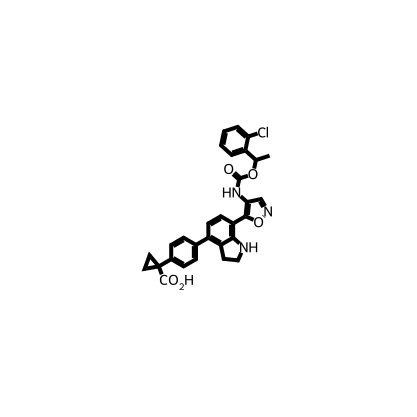 CC(OC(=O)Nc1cnoc1-c1ccc(-c2ccc(C3(C(=O)O)CC3)cc2)c2c1NCC2)c1ccccc1Cl